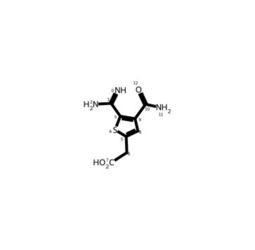 N=C(N)c1sc(CC(=O)O)cc1C(N)=O